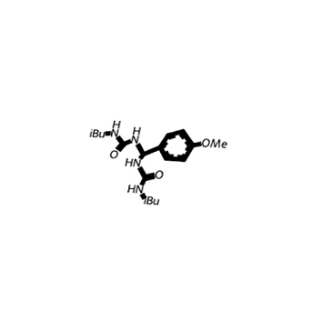 CCC(C)NC(=O)NC(NC(=O)NC(C)CC)c1ccc(OC)cc1